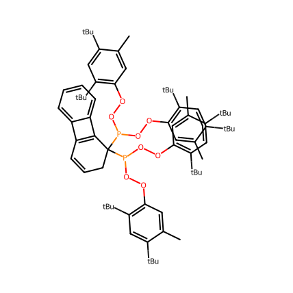 Cc1cc(OOP(OOc2cc(C)c(C(C)(C)C)cc2C(C)(C)C)C2(P(OOc3cc(C)c(C(C)(C)C)cc3C(C)(C)C)OOc3cc(C)c(C(C)(C)C)cc3C(C)(C)C)CC=CC3=C2c2ccccc23)c(C(C)(C)C)cc1C(C)(C)C